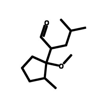 COC1(C(C=O)CC(C)C)CCCC1C